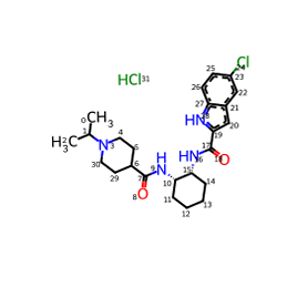 CC(C)N1CCC(C(=O)N[C@H]2CCCC[C@H]2NC(=O)c2cc3cc(Cl)ccc3[nH]2)CC1.Cl